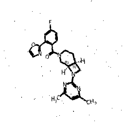 Cc1cc(C)nc(N2C[C@@H]3CCN(C(=O)c4ccc(F)cc4-c4ncco4)C[C@@H]32)n1